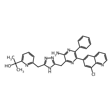 CC(C)(O)c1cccc(Cc2nnc(Cc3nc(-c4cc(Cl)c5ncccc5c4)c(-c4ccccc4)nc3N)[nH]2)n1